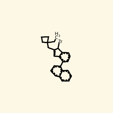 CCC1(CC2=Cc3c(-c4cccc5ccccc45)cccc3[CH]2[Zr])CCC1